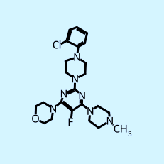 CN1CCN(c2nc(N3CCN(c4ccccc4Cl)CC3)nc(N3CCOCC3)c2F)CC1